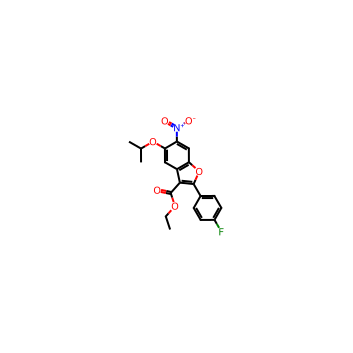 CCOC(=O)c1c(-c2ccc(F)cc2)oc2cc([N+](=O)[O-])c(OC(C)C)cc12